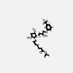 CO[C@@H]1C[C@H](O)[C@H](C/C=C\CCCC(=O)OC(C)C)[C@H]1/C=C/[C@@H](O)COc1cccc(C(F)(F)F)c1